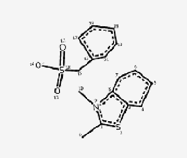 Cc1sc2ccccc2[n+]1C.O=S(=O)([O-])Cc1ccccc1